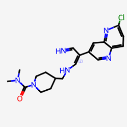 CN(C)C(=O)N1CCC(CN/C=C(\C=N)c2cnc3ccc(Cl)nc3c2)CC1